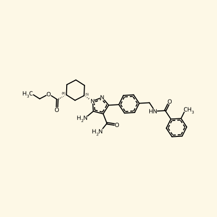 CCOC(=O)[C@@H]1CCC[C@H](n2nc(-c3ccc(CNC(=O)c4ccccc4C)cc3)c(C(N)=O)c2N)C1